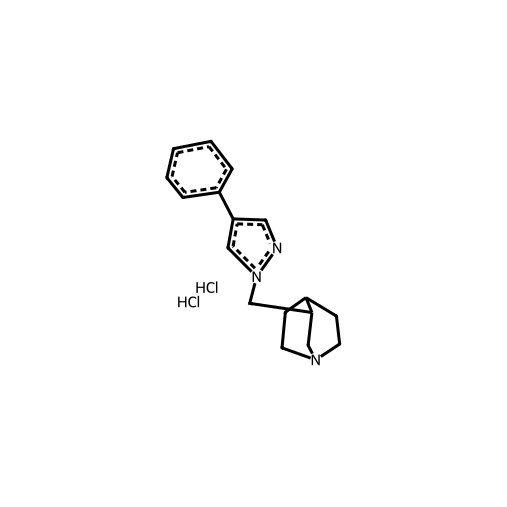 Cl.Cl.c1ccc(-c2cnn(CC3CN4CCC3CC4)c2)cc1